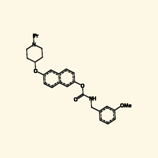 COc1cccc(CNC(=O)Oc2ccc3cc(OC4CCN(C(C)C)CC4)ccc3c2)c1